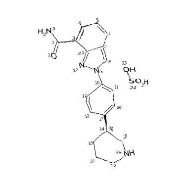 NC(=O)c1cccc2cn(-c3ccc([C@@H]4CCCNC4)cc3)nc12.O=S(=O)(O)O